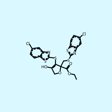 CCOC(=O)C1(CSc2nc3cc(Cl)ccc3s2)OCC(O)=C1Sc1nc2cc(Cl)ccc2s1